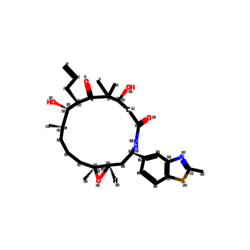 C=CC[C@H]1C(=O)C(C)(C)[C@@H](O)CC(=O)N[C@H](c2ccc3sc(C)nc3c2)C[C@H]2O[C@@]2(C)CCC[C@H](C)[C@@H]1O